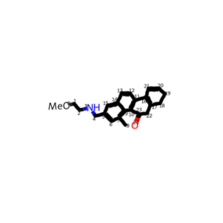 COCCNCc1cc(C)c2c3c(ccc2c1)C1=C(CCC=C1)CC3=O